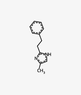 Cc1c[nH]c(CCc2ccccc2)n1